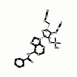 CC(C)(C)[Si](C)(C)O[C@@H]1[C@H](N=C=S)[C@@H](CN=[N+]=[N-])O[C@H]1n1cnc2c(NC(=O)c3ccccc3)ncnc21